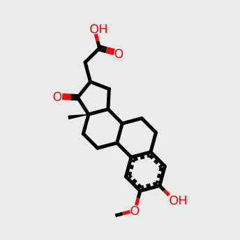 COc1cc2c(cc1O)CCC1C2CC[C@]2(C)C(=O)C(CC(=O)O)CC12